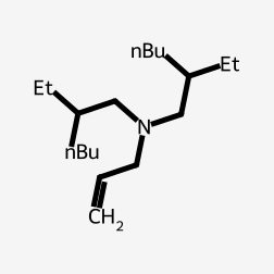 C=CCN(CC(CC)CCCC)CC(CC)CCCC